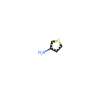 Nc1[c]csc1